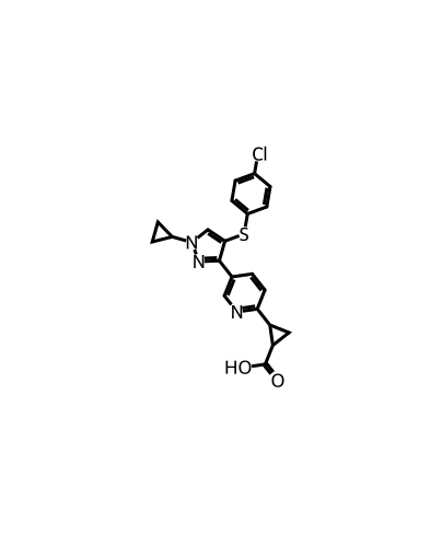 O=C(O)C1CC1c1ccc(-c2nn(C3CC3)cc2Sc2ccc(Cl)cc2)cn1